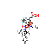 CN(C[C@H](O)CNC(C)(C)CC1Cc2ccccc2C1)S(=O)(=O)c1cc(C=CC(=O)O)cc(C(F)(F)F)c1